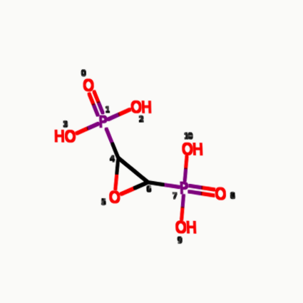 O=P(O)(O)C1OC1P(=O)(O)O